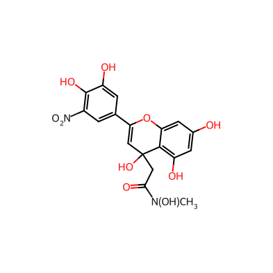 CN(O)C(=O)CC1(O)C=C(c2cc(O)c(O)c([N+](=O)[O-])c2)Oc2cc(O)cc(O)c21